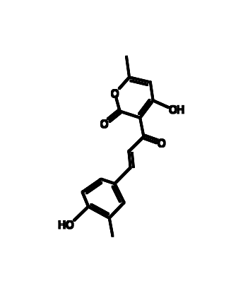 Cc1cc(O)c(C(=O)/C=C/c2ccc(O)c(C)c2)c(=O)o1